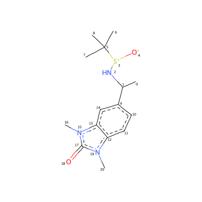 CC(N[S+]([O-])C(C)(C)C)c1ccc2c(c1)n(C)c(=O)n2C